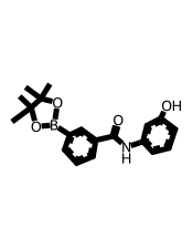 CC1(C)OB(c2cccc(C(=O)Nc3cccc(O)c3)c2)OC1(C)C